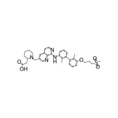 Cc1c(Nc2nccc3cc(CN4CCCCC4CC(=O)O)cnc23)cccc1-c1cccc(OCCCS(C)(=O)=O)c1C